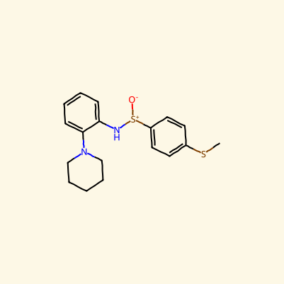 CSc1ccc([S+]([O-])Nc2ccccc2N2CCCCC2)cc1